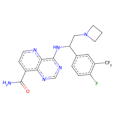 NC(=O)c1ccnc2c(NC(CN3CCC3)c3ccc(F)c(C(F)(F)F)c3)ncnc12